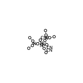 N#Cc1ccc(-c2cc(-n3c4ccc(-c5ccccc5)cc4c4cc(-c5ccccc5)ccc43)ccc2-c2nc(-c3ccc(-c4ccccc4C#N)cc3)nc(-c3ccc(-n4c5ccc(-c6ccccc6)cc5c5cc(-c6ccccc6)ccc54)cc3-c3ccc(C#N)cc3)n2)cc1